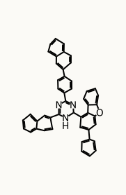 c1ccc(-c2cc(C3N=C(c4ccc(-c5ccc6ccccc6c5)cc4)N=C(c4ccc5ccccc5c4)N3)c3c(c2)oc2ccccc23)cc1